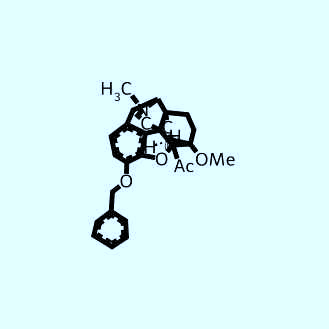 COC12CCC3(C[C@@H]1C(C)=O)C1Cc4ccc(OCc5ccccc5)c5c4C3(CCN1C)[C@H]2O5